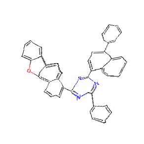 c1ccc(-c2nc(-c3ccc(-c4ccccc4)c4ccccc34)nc(-c3cccc4c3ccc3c5ccccc5oc43)n2)cc1